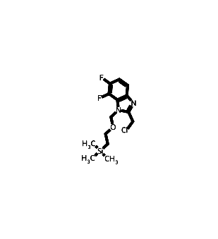 C[Si](C)(C)CCOCn1c(CCl)nc2ccc(F)c(F)c21